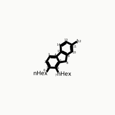 CCCCCCc1ccc2c(c1CCCCCC)Cc1cc(I)ccc1-2